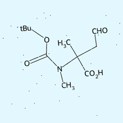 CN(C(=O)OC(C)(C)C)C(C)(CC=O)C(=O)O